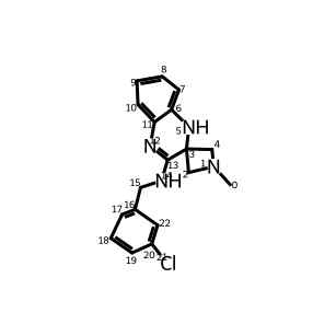 CN1CC2(C1)Nc1ccccc1N=C2NCc1cccc(Cl)c1